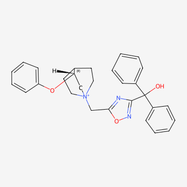 OC(c1ccccc1)(c1ccccc1)c1noc(C[N+]23CCC(CC2)[C@@H](Oc2ccccc2)C3)n1